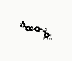 Cc1cc(-c2ccc3cn(C4CCC(CNC(=O)c5cc(F)c(O)c(F)c5)CC4)nc3c2)ncn1